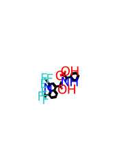 O=C(O)C(NCC(O)c1cc(C(F)(F)F)nc2c(C(F)(F)F)cccc12)c1ccccc1